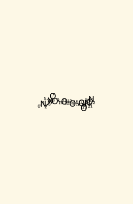 C=N/C=C\N(C)C(=O)OCCOCCOCCOC(=O)n1ccnc1